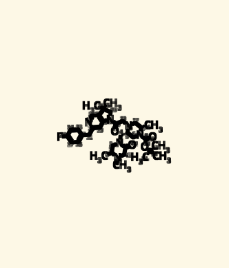 CC1CN(C[C@H]2CN(C(=O)OC(C)(C)C)[C@H](C)CN2CC(=O)N2CC(C)(C)c3cnc(Cc4ccc(F)cc4)cc32)C(=O)CN1C